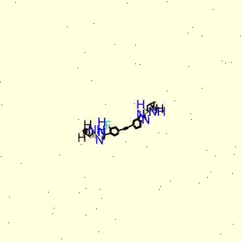 Fc1cc(C#Cc2ccc3nc([C@@H]4CC5C[C@H]5N4)[nH]c3c2)ccc1-c1cnc([C@@H]2C[C@H]3C[C@H]3N2)[nH]1